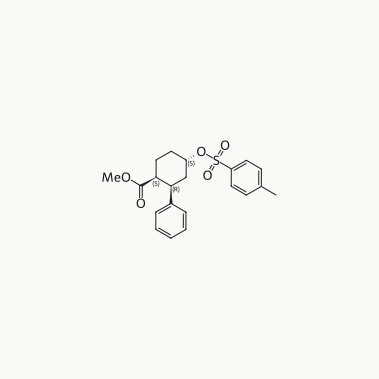 COC(=O)[C@H]1CC[C@H](OS(=O)(=O)c2ccc(C)cc2)C[C@H]1c1ccccc1